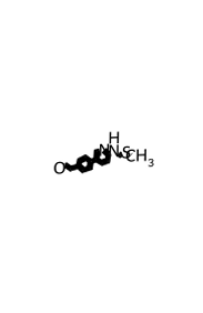 CSCNc1ccc(-c2ccc(CC=O)cc2)cn1